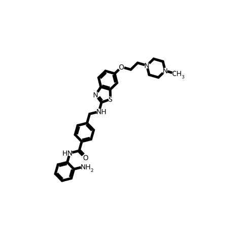 CN1CCN(CCOc2ccc3nc(NCc4ccc(C(=O)Nc5ccccc5N)cc4)sc3c2)CC1